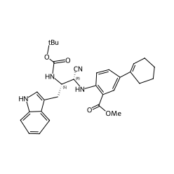 COC(=O)c1cc(C2=CCCCC2)ccc1N[C@@H](C#N)[C@H](Cc1c[nH]c2ccccc12)NC(=O)OC(C)(C)C